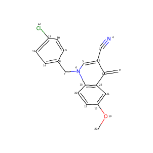 C=C1C(C#N)=CN(Cc2ccc(Cl)cc2)c2ccc(OC)cc21